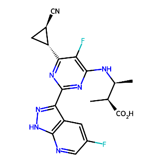 C[C@H](Nc1nc(-c2n[nH]c3ncc(F)cc23)nc([C@@H]2C[C@H]2C#N)c1F)[C@H](C)C(=O)O